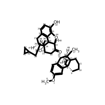 COc1ccc2c(c1)[C@]13CCCC[C@@H]1[C@H](C2)N(C)CC3.O=C1CC[C@@]2(O)[C@H]3Cc4ccc(O)c5c4[C@@]2(CCN3CC2CC2)[C@H]1O5